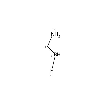 NCBF